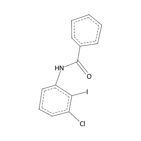 O=C(Nc1cccc(Cl)c1I)c1ccccc1